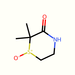 CC1(C)C(=O)NCC[S+]1[O-]